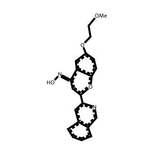 COCCOc1ccc2oc(-c3cc4ccccc4cn3)c/c(=N\O)c2c1